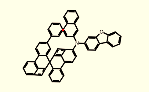 c1ccc(-c2ccc3c(c2)C2(c4ccccc4-c4ccc(N(c5ccc6ccccc6c5)c5ccc6c(c5)oc5ccccc56)c5cccc2c45)c2cccc4cccc-3c24)cc1